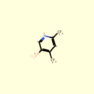 Bc1cnc(C(F)(F)F)cc1C(F)(F)F